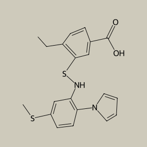 CCc1ccc(C(=O)O)cc1SNc1cc(SC)ccc1-n1cccc1